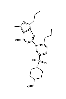 CCCc1nn(C)c2c(=O)[nH]c(-c3cc(S(=O)(=O)N4CCN(C=O)CC4)ccc3OCC)nc12